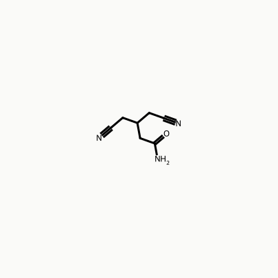 N#CCC(CC#N)CC(N)=O